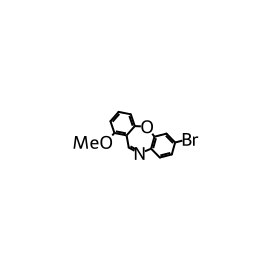 COc1cccc2c1C=Nc1ccc(Br)cc1O2